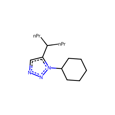 CCCC(CCC)c1cnnn1C1CCCCC1